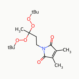 CC1=C(C)C(=O)N(CCC(C)(OOC(C)(C)C)OOC(C)(C)C)C1=O